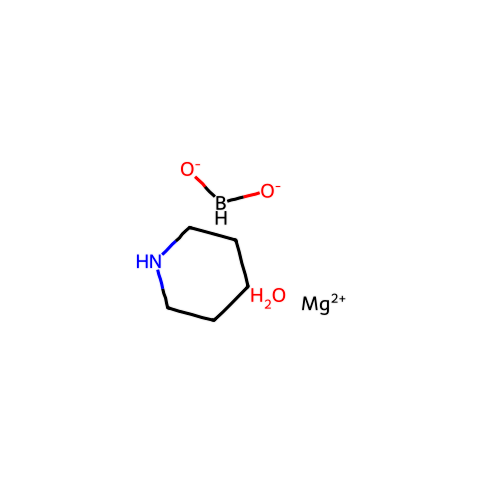 C1CCNCC1.O.[Mg+2].[O-]B[O-]